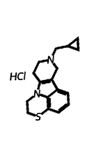 Cl.c1cc2c3c(c1)c1c(n3CCS2)CCN(CC2CC2)C1